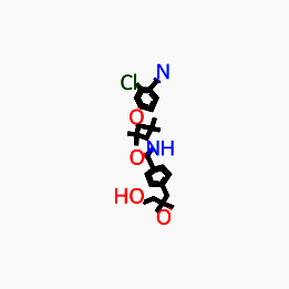 CC1(C)[C@H](NC(=O)c2ccc(CC3(CCO)COC3)cc2)C(C)(C)[C@H]1Oc1ccc(C#N)c(Cl)c1